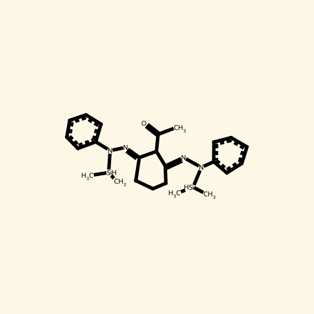 CC(=O)C1C(=NN(c2ccccc2)[SiH](C)C)CCCC1=NN(c1ccccc1)[SiH](C)C